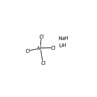 [Cl][Al-]([Cl])([Cl])[Cl].[LiH].[NaH]